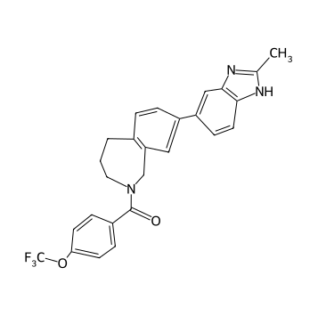 Cc1nc2cc(-c3ccc4c(c3)CN(C(=O)c3ccc(OC(F)(F)F)cc3)CCC4)ccc2[nH]1